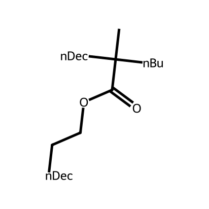 CCCCCCCCCCCCOC(=O)C(C)(CCCC)CCCCCCCCCC